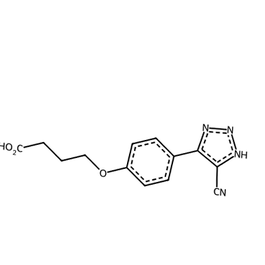 N#Cc1[nH]nnc1-c1ccc(OCCCC(=O)O)cc1